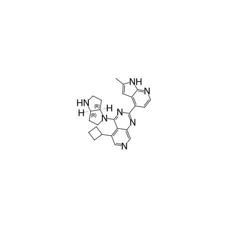 Cc1cc2c(-c3nc(N4CC[C@H]5NCC[C@H]54)c4c(C5CCC5)cncc4n3)ccnc2[nH]1